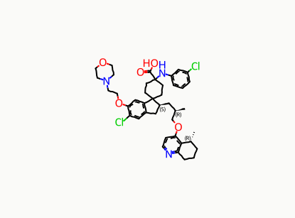 C[C@@H](COc1ccnc2c1[C@H](C)CCC2)C[C@H]1Cc2cc(Cl)c(OCCN3CCOCC3)cc2C12CCC(Nc1cccc(Cl)c1)(C(=O)O)CC2